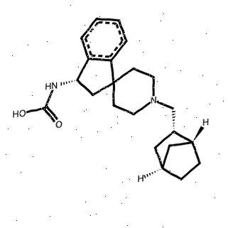 O=C(O)N[C@H]1CC2(CCN(C[C@H]3C[C@@H]4CC[C@@H]3C4)CC2)c2ccccc21